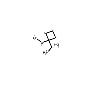 COC1(CN)CCC1.Cl